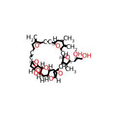 C=C1CC2CC[C@@]34C[C@H]5O[C@H]6[C@@H](O3)[C@H]3O[C@H](CC[C@@H]3O[C@H]6C5O4)CC(=O)C[C@@H]3[C@@H](C)[C@@H](C[C@H](O)CO)O[C@H]3CC3O[C@@H](CCC1O2)C[C@@H](C)C3=C